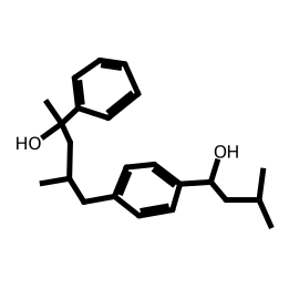 CC(C)CC(O)c1ccc(CC(C)CC(C)(O)c2ccccc2)cc1